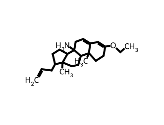 C=CCC1CCC2C1(C)CCC1C3(C)CCC(OCC)=CC3=CCC12N